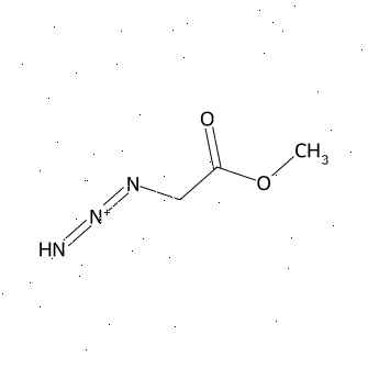 COC(=O)CN=[N+]=N